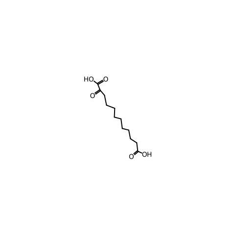 O=C(O)CCCCCCCCCC(=O)C(=O)O